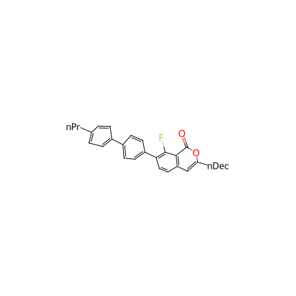 CCCCCCCCCCc1cc2ccc(-c3ccc(-c4ccc(CCC)cc4)cc3)c(F)c2c(=O)o1